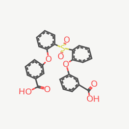 O=C(O)c1cccc(Oc2ccccc2S(=O)(=O)c2ccccc2Oc2cccc(C(=O)O)c2)c1